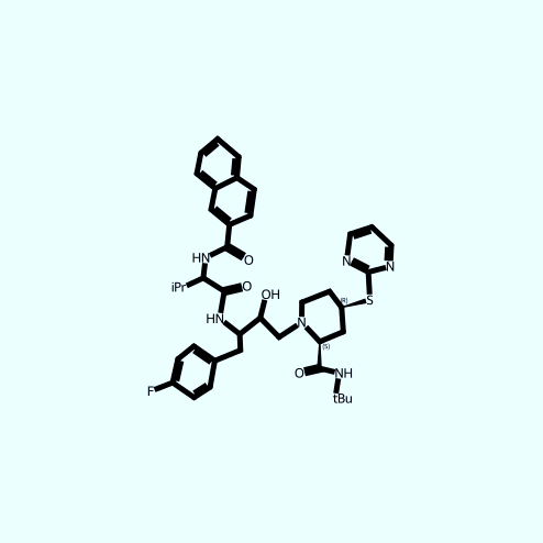 CC(C)C(NC(=O)c1ccc2ccccc2c1)C(=O)NC(Cc1ccc(F)cc1)C(O)CN1CC[C@@H](Sc2ncccn2)C[C@H]1C(=O)NC(C)(C)C